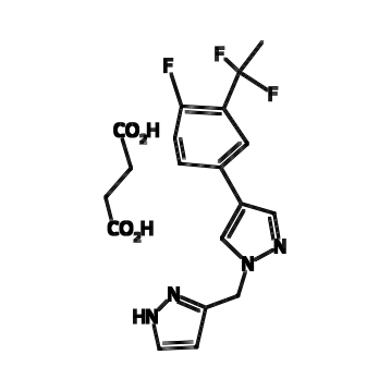 CC(F)(F)c1cc(-c2cnn(Cc3cc[nH]n3)c2)ccc1F.O=C(O)CCC(=O)O